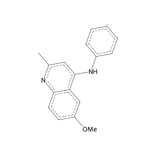 COc1ccc2nc(C)cc(Nc3cc[c]cc3)c2c1